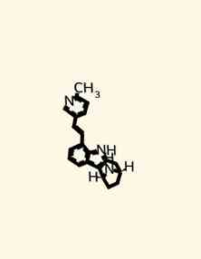 Cc1ccc(/C=C/c2cccc3c4c([nH]c23)C[C@H]2CC[C@@H]4N2)cn1